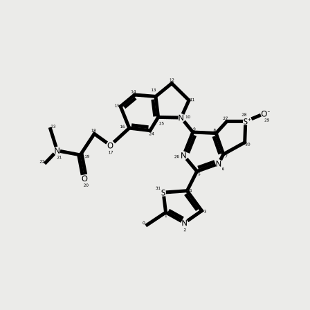 Cc1ncc(-c2nc3c(c(N4CCc5ccc(OCC(=O)N(C)C)cc54)n2)C[S+]([O-])C3)s1